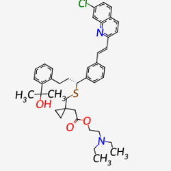 CCN(CC)CCOC(=O)CC1(CS[C@H](CCc2ccccc2C(C)(C)O)c2cccc(C=Cc3ccc4ccc(Cl)cc4n3)c2)CC1